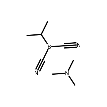 CC(C)B(C#N)C#N.CN(C)C